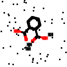 O=C(O)c1ccccc1C(=O)O.[KH].[KH].[KH]